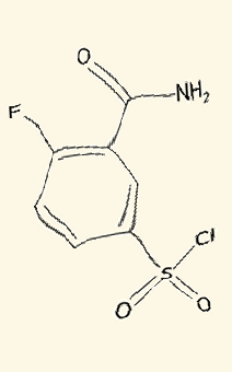 NC(=O)c1cc(S(=O)(=O)Cl)ccc1F